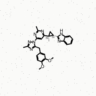 COc1ccc(Cc2nc(C)nn2-c2cc([C@@]3(C)C[C@@H]3c3nc4ccccc4[nH]3)nc(C)n2)cc1OC